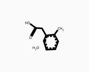 Cc1ccccc1CC(=O)O.O